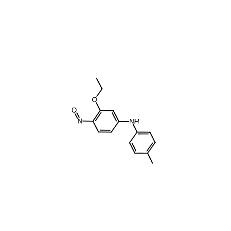 CCOc1cc(Nc2ccc(C)cc2)ccc1N=O